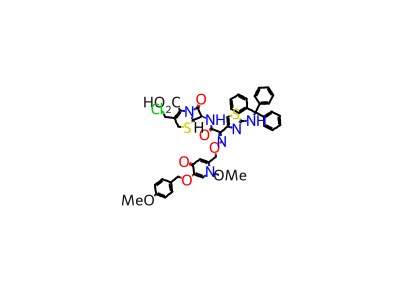 COc1ccc(COc2cn(OC)c(CO/N=C(\C(=O)N[C@@H]3C(=O)N4C(C(=O)O)=C(CCl)CS[C@H]34)c3csc(NC(c4ccccc4)(c4ccccc4)c4ccccc4)n3)cc2=O)cc1